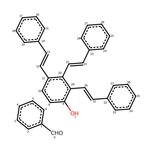 O=Cc1ccccc1.Oc1ccc(C=Cc2ccccc2)c(C=Cc2ccccc2)c1C=Cc1ccccc1